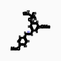 COc1ccc(/C=C/c2cc(OC)cc(O[Si](C)(C)C(C)(C)C)c2)cc1